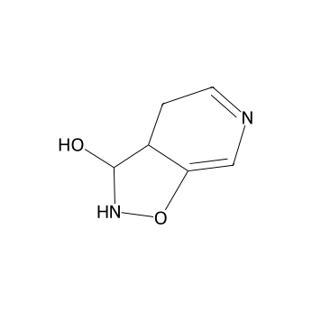 OC1NOC2=CN=CCC21